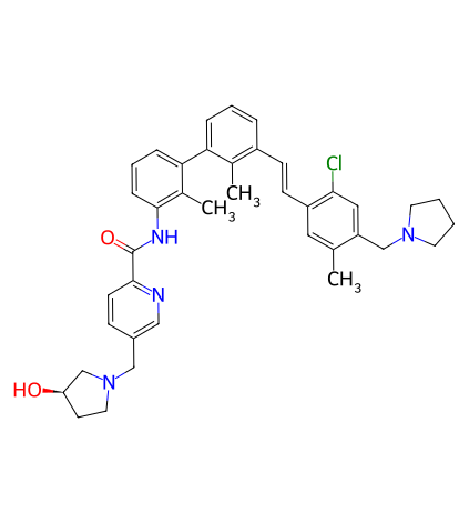 Cc1cc(/C=C/c2cccc(-c3cccc(NC(=O)c4ccc(CN5CC[C@@H](O)C5)cn4)c3C)c2C)c(Cl)cc1CN1CCCC1